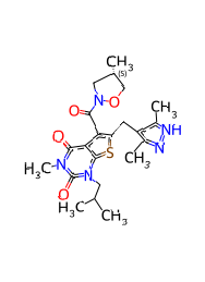 Cc1n[nH]c(C)c1Cc1sc2c(c1C(=O)N1C[C@H](C)CO1)c(=O)n(C)c(=O)n2CC(C)C